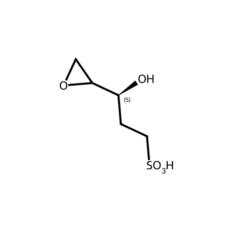 O=S(=O)(O)CC[C@H](O)C1CO1